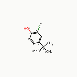 COC(C)(C)c1ccc(O)c(Cl)c1